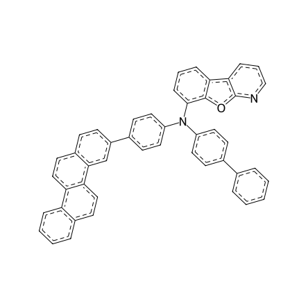 c1ccc(-c2ccc(N(c3ccc(-c4ccc5ccc6c7ccccc7ccc6c5c4)cc3)c3cccc4c3oc3ncccc34)cc2)cc1